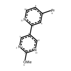 COc1ncc(-c2cc(C(C)C)ccn2)cn1